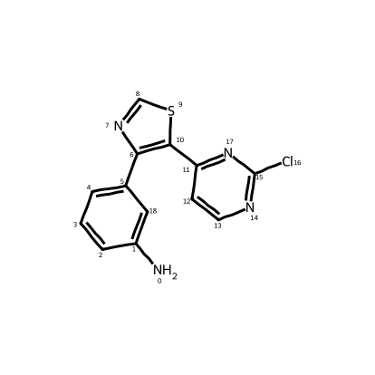 Nc1cccc(-c2ncsc2-c2ccnc(Cl)n2)c1